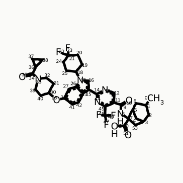 CC1CC2CC(C1)C(NC(=O)c1cnc(-c3cn(C4CCC(F)(F)CC4)c4cc(OC5CCN(C(=O)C6CC6)CC5)ccc34)nc1C(F)(F)F)(C(=O)O)C2